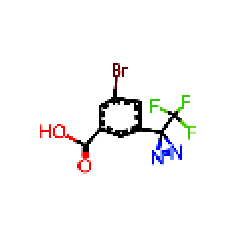 O=C(O)c1cc(Br)cc(C2(C(F)(F)F)N=N2)c1